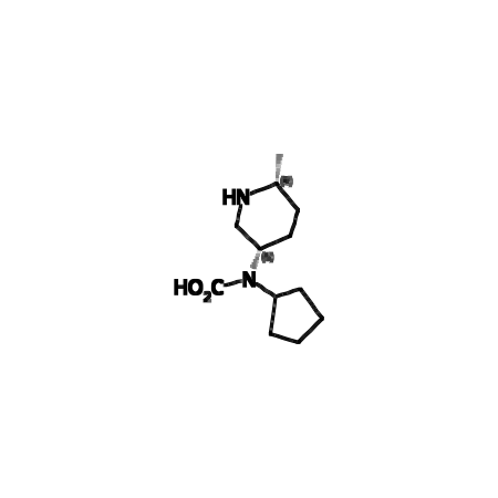 C[C@@H]1CC[C@H](N(C(=O)O)C2CCCC2)CN1